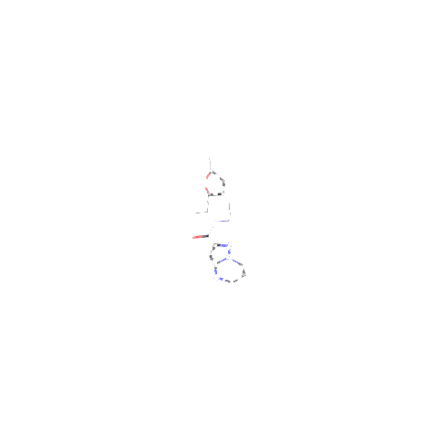 CC1c2oc(Br)cc2CCN1C(=O)c1cc2ncc(Cl)cn2n1